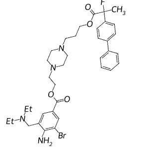 CCN(CC)Cc1cc(C(=O)OCCN2CCN(CCCOC(=O)C(C)(F)c3ccc(-c4ccccc4)cc3)CC2)cc(Br)c1N